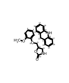 COc1ccccc1OCC1CNC(=O)O1.c1ccc2c(c1)Cc1ccccc1N2